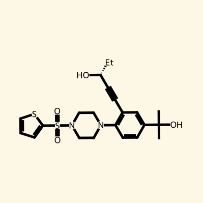 CC[C@@H](O)C#Cc1cc(C(C)(C)O)ccc1N1CCN(S(=O)(=O)c2cccs2)CC1